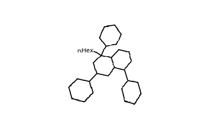 CCCCCCC1(C2CCCCC2)CC(C2CCCCC2)CC2C(C3CCCCC3)CCCC21